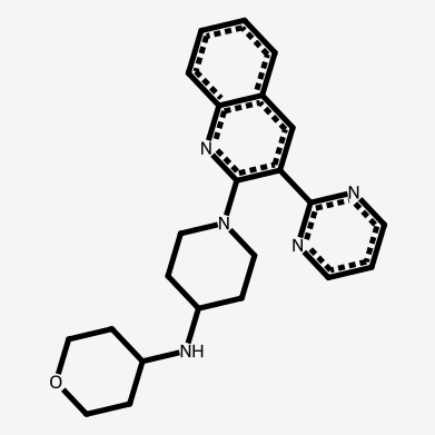 c1cnc(-c2cc3ccccc3nc2N2CCC(NC3CCOCC3)CC2)nc1